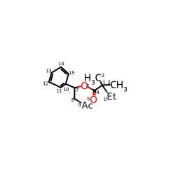 CCC(C)(C)C(=O)OC(CC(C)=O)c1ccccc1